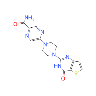 NC(=O)c1cnc(N2CCN(c3nc4ccsc4c(=O)[nH]3)CC2)cn1